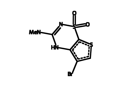 CNC1=NS(=O)(=O)c2scc(Br)c2N1